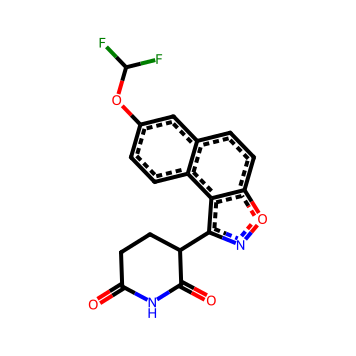 O=C1CCC(c2noc3ccc4cc(OC(F)F)ccc4c23)C(=O)N1